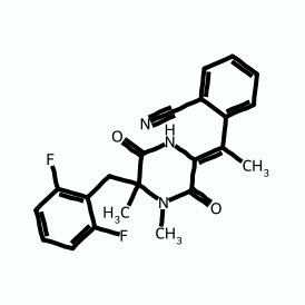 CC(=C1NC(=O)C(C)(Cc2c(F)cccc2F)N(C)C1=O)c1ccccc1C#N